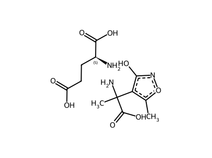 Cc1onc(O)c1C(C)(N)C(=O)O.N[C@@H](CCC(=O)O)C(=O)O